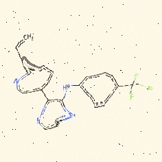 C=Cc1ccc(-c2nccnc2Nc2ccc(C(F)(F)F)cc2)cn1